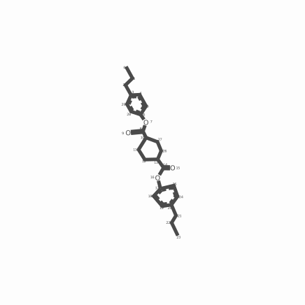 CCCc1ccc(OC(=O)C2CCC(C(=O)Oc3ccc(CCC)cc3)CC2)cc1